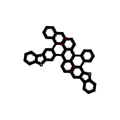 c1ccc(-c2cccc3c2oc2ccccc23)c(-c2c3ccccc3c(-c3cc4oc5ccccc5c4cc3-c3cccc4ccccc34)c3ccccc23)c1